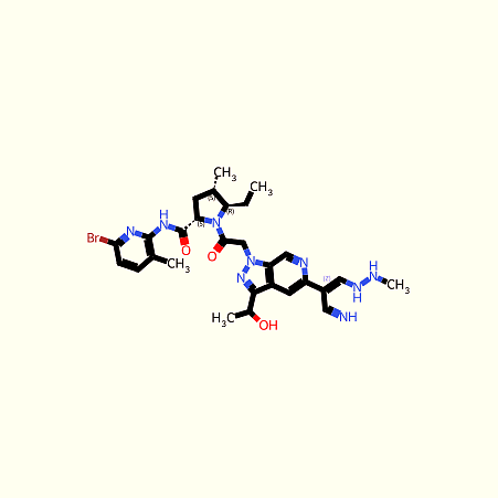 CC[C@@H]1[C@@H](C)C[C@@H](C(=O)Nc2nc(Br)ccc2C)N1C(=O)Cn1nc(C(C)O)c2cc(/C(C=N)=C/NNC)ncc21